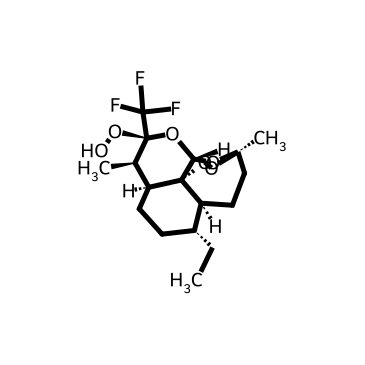 CC[C@@H]1CC[C@H]2[C@@H](C)[C@](OO)(C(F)(F)F)O[C@@H]3O[C@]4(C)CC[C@@H]1[C@]32OO4